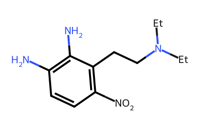 CCN(CC)CCc1c([N+](=O)[O-])ccc(N)c1N